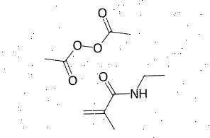 C=C(C)C(=O)NCC.CC(=O)OOC(C)=O